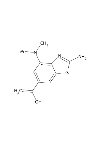 C=C(O)c1cc(N(C)C(C)C)c2nc(N)sc2c1